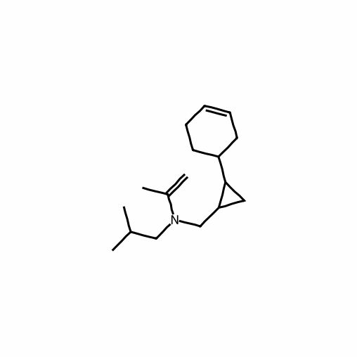 C=C(C)N(CC(C)C)CC1CC1C1CC=CCC1